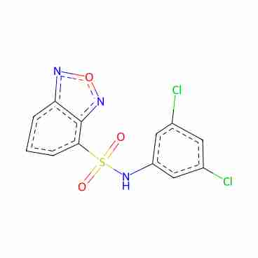 O=S(=O)(Nc1cc(Cl)cc(Cl)c1)c1cccc2nonc12